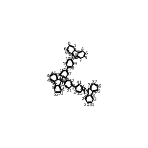 C1=CC2c3ccccc3N(c3ccc(-c4ccc(C5(c6ccc(-c7ccc(-n8c9ccccc9c9ccccc98)cc7)cc6)c6ccccc6-c6ccccc65)cc4)cc3)C2C=C1